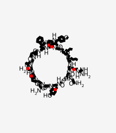 C=C1N[C@@H](CCCNC(=N)N)C(=O)N[C@H](C(=O)NCC(N)=O)CSCC(=O)N[C@@H](Cc2ccc(O)cc2)C(=O)N(C)[C@@H](C)C(=O)N[C@@H](CC(N)=O)C(=O)N2CCC[C@H]2C(=O)N[C@@H](CN)C(=O)N[C@@H](CC(C)C)C(=O)N2CCC[C@H]2C(=O)N[C@@H](Cc2c[nH]c3ccccc23)C(=O)N[C@@H](CO)C(=O)N[C@@H](Cc2c(-c3ccc(OC)cc3)[nH]c3ccccc23)C(=O)N(C)[C@@H](CCCC)C(=O)N(C)[C@H]1CCCC